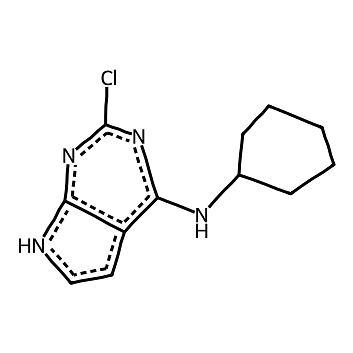 Clc1nc(NC2CCCCC2)c2cc[nH]c2n1